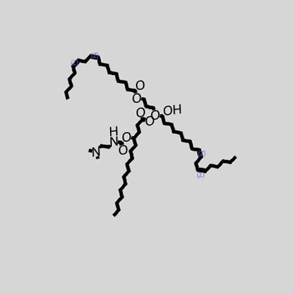 CCCCC/C=C\C/C=C\CCCCCCCC(=O)OCC(COC(O)CCCCCCC/C=C\C/C=C\CCCCC)OC(=O)CCC(CCCCCCCCCCCC)OC(=O)NCCN(C)C